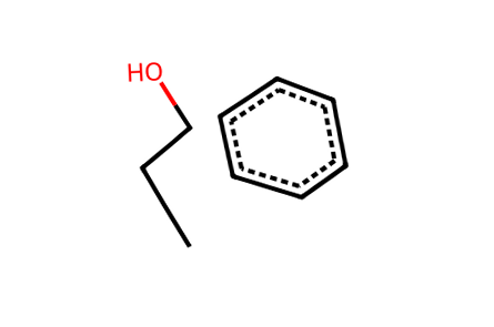 CCCO.c1ccccc1